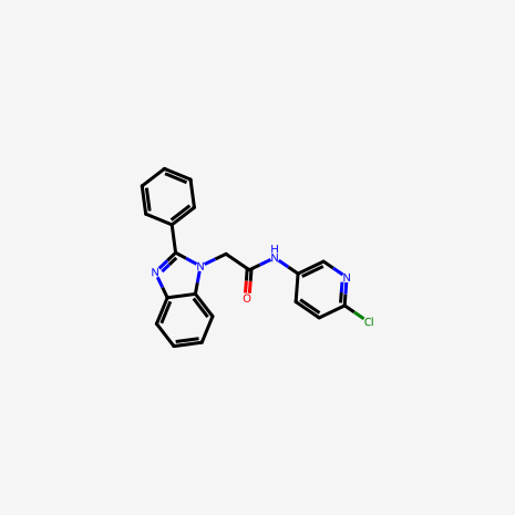 O=C(Cn1c(-c2ccccc2)nc2ccccc21)Nc1ccc(Cl)nc1